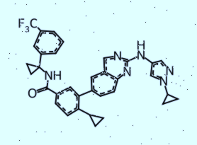 O=C(NC1(c2cccc(C(F)(F)F)c2)CC1)c1ccc(C2CC2)c(-c2ccc3nc(Nc4cnn(C5CC5)c4)ncc3c2)c1